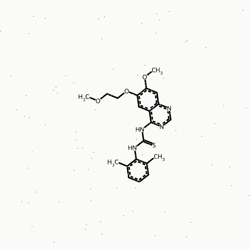 COCCOc1cc2c(NC(=S)Nc3c(C)cccc3C)ncnc2cc1OC